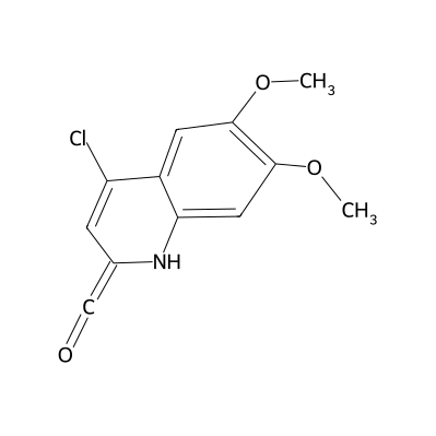 COc1cc2c(cc1OC)C(Cl)=CC(=C=O)N2